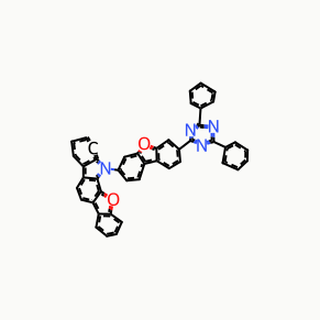 c1ccc(-c2nc(-c3ccccc3)nc(-c3ccc4c(c3)oc3cc(-n5c6ccccc6c6ccc7c8ccccc8oc7c65)ccc34)n2)cc1